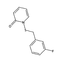 O=c1ccccn1SCc1cccc(F)c1